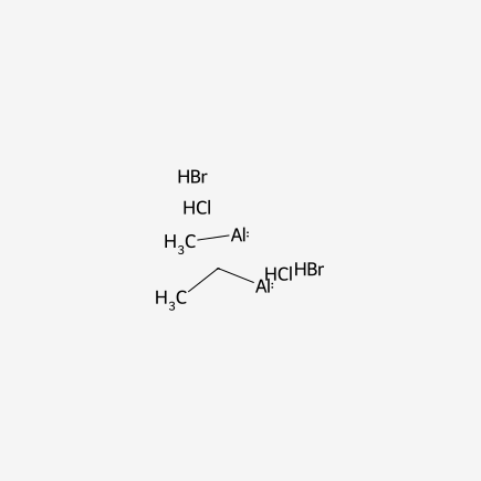 Br.Br.C[CH2][Al].Cl.Cl.[CH3][Al]